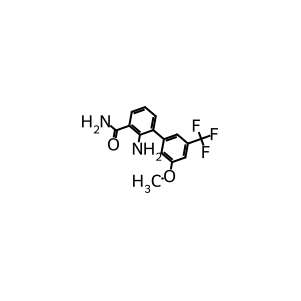 COc1cc(-c2cccc(C(N)=O)c2N)cc(C(F)(F)F)c1